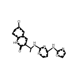 CC(Nc1nccc(Nc2ncco2)n1)c1cc2cc(Cl)ccc2[nH]c1=O